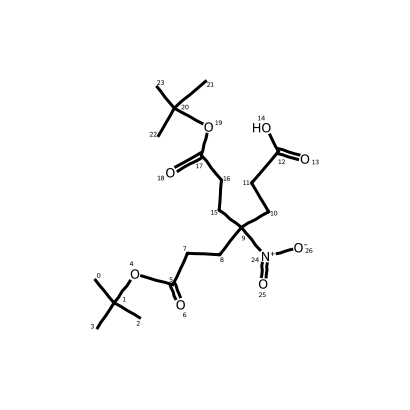 CC(C)(C)OC(=O)CCC(CCC(=O)O)(CCC(=O)OC(C)(C)C)[N+](=O)[O-]